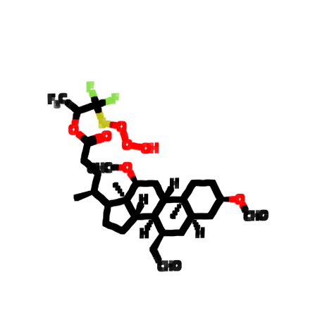 C[C@@H](CCC(=O)OC(C(F)(F)F)C(F)(F)SOOO)C1CC[C@H]2[C@@H]3[C@H](CC=O)C[C@@H]4C[C@H](OC=O)CC[C@]4(C)[C@H]3C[C@H](OC=O)[C@]12C